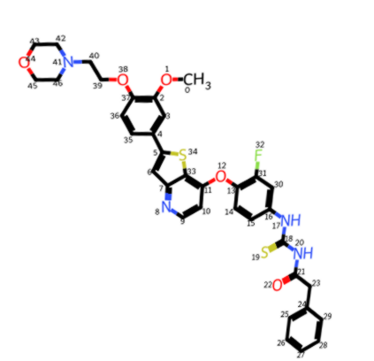 COc1cc(-c2cc3nccc(Oc4ccc(NC(=S)NC(=O)Cc5ccccc5)cc4F)c3s2)ccc1OCCN1CCOCC1